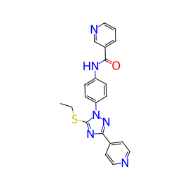 CCSc1nc(-c2ccncc2)nn1-c1ccc(NC(=O)c2cccnc2)cc1